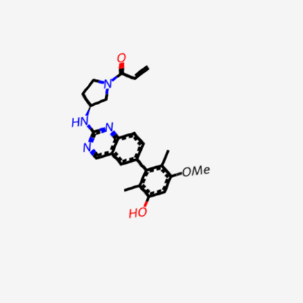 C=CC(=O)N1CC[C@H](Nc2ncc3cc(-c4c(C)c(O)cc(OC)c4C)ccc3n2)C1